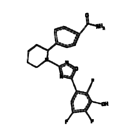 NC(=O)c1ccc(C2CCCCN2c2noc(-c3cc(F)c(F)c(O)c3F)n2)cc1